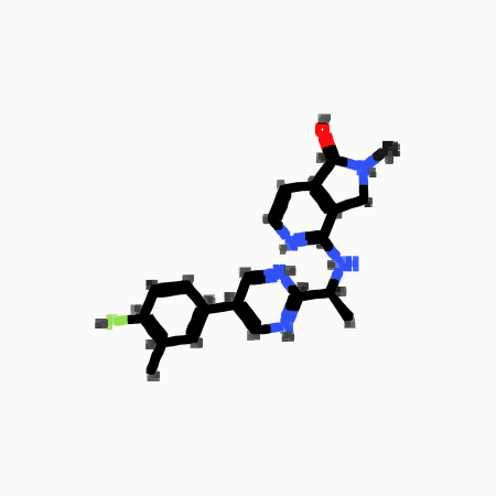 CCN1Cc2c(ccnc2N[C@@H](C)c2ncc(-c3ccc(F)c(C)c3)cn2)C1=O